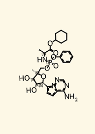 C[C@H](N[P@](=O)(OC[C@@]1(C)O[C@@H](c2ccc3c(N)ncnn23)[C@H](O)[C@@H]1O)Oc1ccccc1)C(=O)OC1CCCCC1